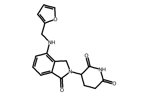 O=C1CCC(N2Cc3c(NCc4ccco4)cccc3C2=O)C(=O)N1